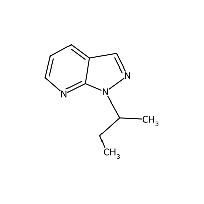 CCC(C)n1ncc2cccnc21